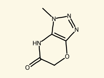 Cn1nnc2c1NC(=O)CO2